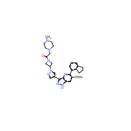 COc1cc2[nH]nc(-c3cnn(C4CN(C(=O)CN5CCN(C)CC5)C4)c3)c2nc1-c1cccc2c1CCC2